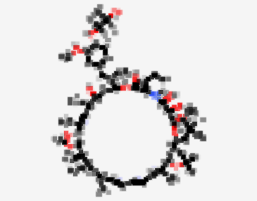 [2H]C([2H])([2H])O[C@H]1C[C@@H]2CC([2H])([2H])[C@@H](C)[C@@](O)(O2)C(=O)C(=O)N2CCCC[C@H]2C(=O)O[C@H]([C@H](C)C[C@@H]2CC[C@@H](OC([2H])([2H])C([2H])([2H])O)[C@H](OC)C2)CC(=O)[C@H](C)/C=C(\C)[C@@H](O)[C@@H](OC)C(=C)[C@H](C)C[C@H](C)/C=C/C=C/C=C/1C